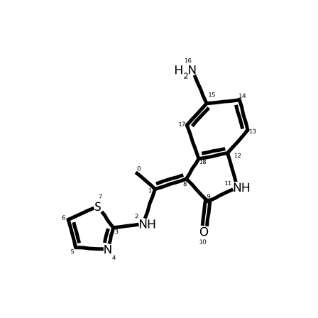 C/C(Nc1nccs1)=C1/C(=O)Nc2ccc(N)cc21